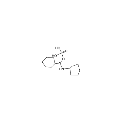 O=P(O)(O)ON(NC1CCCCC1)C1CCCCC1